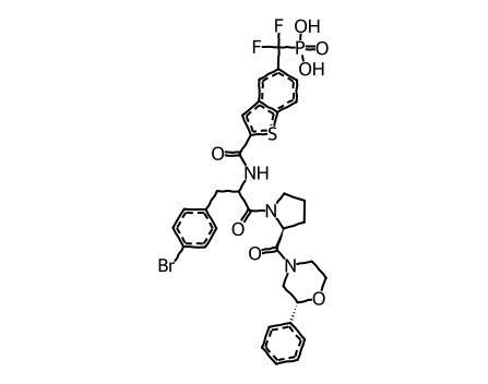 O=C(NC(Cc1ccc(Br)cc1)C(=O)N1CCC[C@H]1C(=O)N1CCO[C@H](c2ccccc2)C1)c1cc2cc(C(F)(F)P(=O)(O)O)ccc2s1